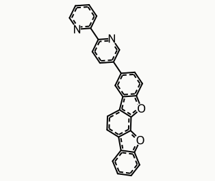 c1ccc(-c2ccc(-c3ccc4oc5c(ccc6c7ccccc7oc65)c4c3)cn2)nc1